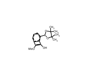 COC1=C(O)c2c(B3OC(C)(C)C(C)(C)O3)cccc21